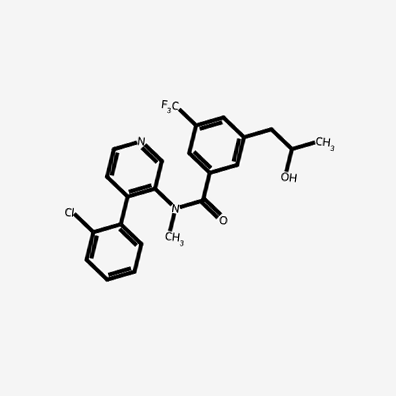 CC(O)Cc1cc(C(=O)N(C)c2cnccc2-c2ccccc2Cl)cc(C(F)(F)F)c1